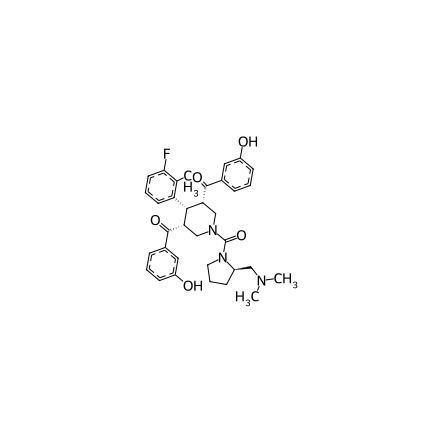 Cc1c(F)cccc1[C@H]1[C@@H](C(=O)c2cccc(O)c2)CN(C(=O)N2CCC[C@@H]2CN(C)C)C[C@H]1C(=O)c1cccc(O)c1